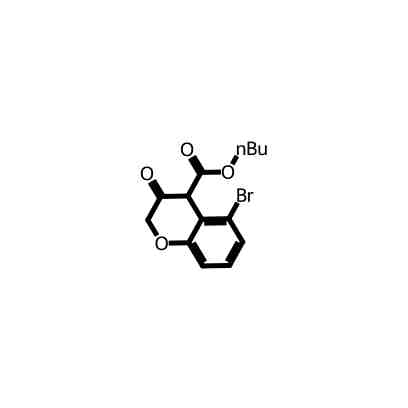 CCCCOC(=O)C1C(=O)COc2cccc(Br)c21